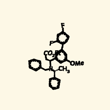 CCOC(=O)C[C@@H](c1cc(OC)cc(-c2ccc(F)cc2F)c1)N(Cc1ccccc1)[C@H](C)c1ccccc1